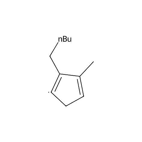 CCCCCC1=[C]CC=C1C